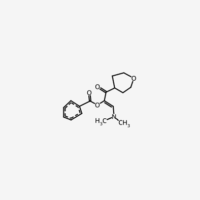 CN(C)/C=C(\OC(=O)c1ccccc1)C(=O)C1CCOCC1